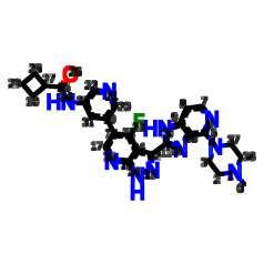 CN1CCN(c2nccc3[nH]c(-c4n[nH]c5ncc(-c6cncc(NC(=O)C7CCC7)c6)c(F)c45)nc23)CC1